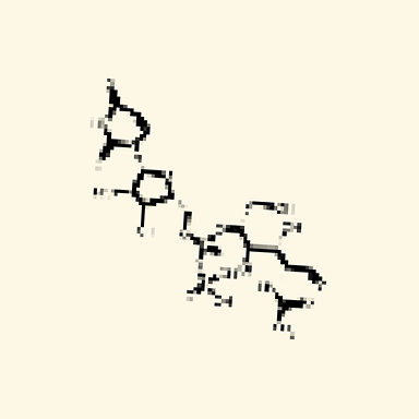 CC(=O)N[C@@H](C=O)[C@@H](O)[C@@H](O)[C@@H](CO)OP(=O)(OC[C@H]1O[C@@H](n2ccc(=O)[nH]c2=O)[C@H](O)[C@@H]1O)OP(=O)(O)O